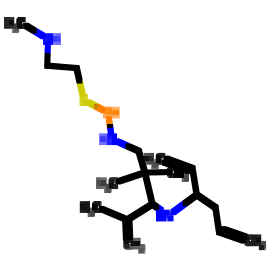 C=CCC(C=C)NC(C(=C)C)C(C)(C)CNPSCCNC